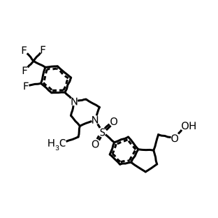 CCC1CN(c2ccc(C(F)(F)F)c(F)c2)CCN1S(=O)(=O)c1ccc2c(c1)C(COO)CC2